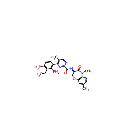 CCc1c(P)ccc(-c2nc(C(=O)/N=C3\COc4cc(C)cnc4N(C)C3=O)ncc2C)c1P